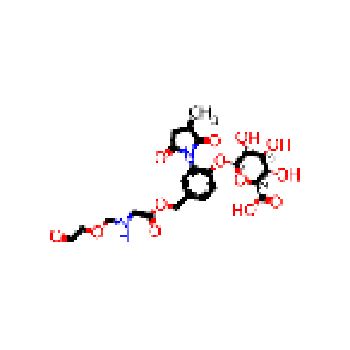 CC1CC(=O)N(c2cc(COC(=O)CNCOCC=O)ccc2O[C@@H]2O[C@H](C(=O)O)[C@@H](O)[C@H](O)[C@H]2O)C1=O